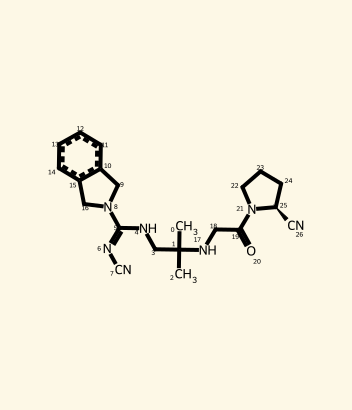 CC(C)(CN/C(=N\C#N)N1Cc2ccccc2C1)NCC(=O)N1CCC[C@H]1C#N